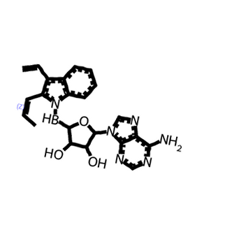 C=Cc1c(/C=C\C)n(BC2OC(n3cnc4c(N)ncnc43)C(O)C2O)c2ccccc12